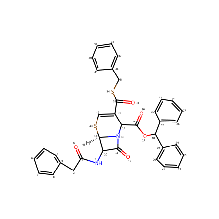 O=C(Cc1ccccc1)NC1C(=O)N2C(C(=O)OC(c3ccccc3)c3ccccc3)C(C(=O)SCc3ccccc3)=CS[C@H]12